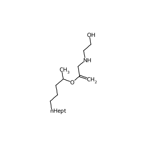 C=C(CNCCO)OC(C)CCCCCCCCCC